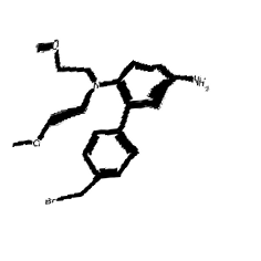 COCCN(CCOC)c1ccc(N)cc1-c1ccc(CBr)cc1